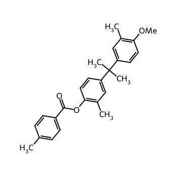 COc1ccc(C(C)(C)c2ccc(OC(=O)c3ccc(C)cc3)c(C)c2)cc1C